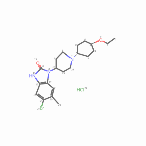 CCO[C@H]1CC[C@H](N2CCC(n3c(=O)[nH]c4cc(Br)c(C)cc43)CC2)CC1.Cl